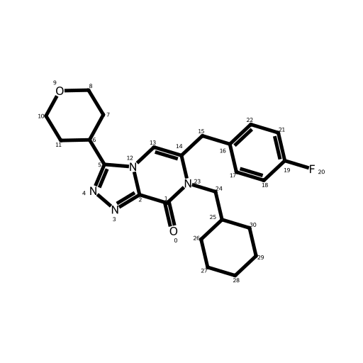 O=c1c2nnc(C3CCOCC3)n2cc(Cc2ccc(F)cc2)n1CC1CCCCC1